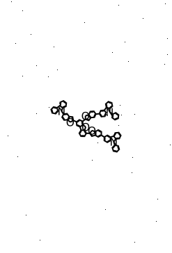 c1ccc(-n2c3ccccc3c3cc(-c4ccc5oc(-c6cccc7c6oc6c(-c8cc9cc(-c%10ccc%11c(c%10)c%10ccccc%10n%11-c%10ccccc%10)ccc9o8)cc(-c8cc9cc(-n%10c%11ccccc%11c%11ccccc%11%10)ccc9o8)cc67)cc5c4)ccc32)cc1